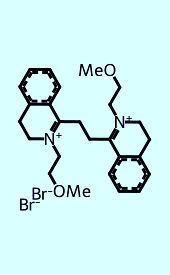 COCC[N+]1=C(CCC2=[N+](CCOC)CCc3ccccc32)c2ccccc2CC1.[Br-].[Br-]